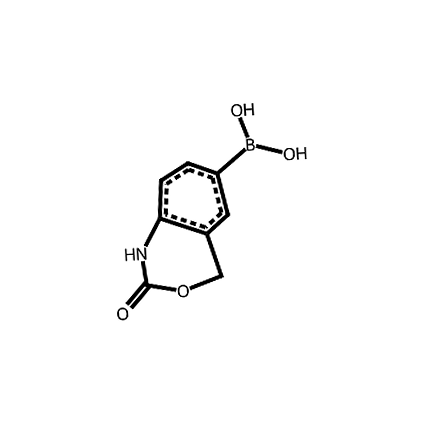 O=C1Nc2ccc(B(O)O)cc2CO1